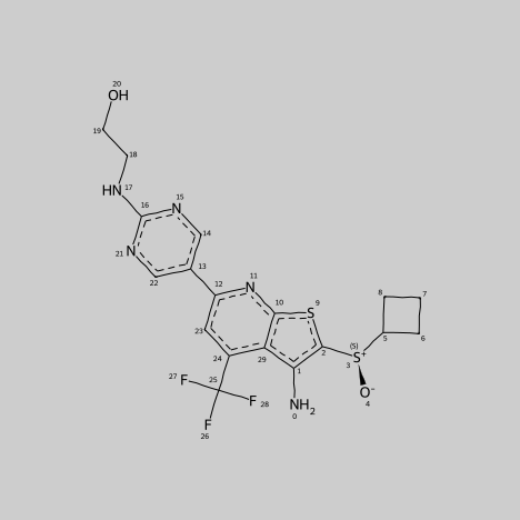 Nc1c([S@+]([O-])C2CCC2)sc2nc(-c3cnc(NCCO)nc3)cc(C(F)(F)F)c12